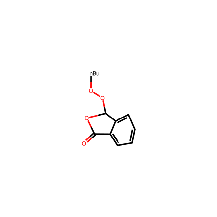 CCCCOOC1OC(=O)c2ccccc21